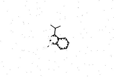 CC(C)c1nn(Br)c2ccccc12